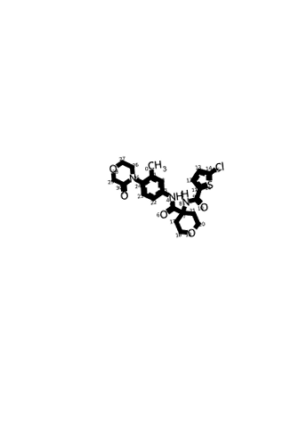 Cc1cc(NC(=O)C2(NC(=O)c3ccc(Cl)s3)CCOCC2)ccc1N1CCOCC1=O